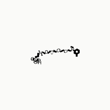 CCN(CCOCCOCCOCCOCC[N+](C)(C)CCCS(=O)(=O)O)c1cccc(C)c1